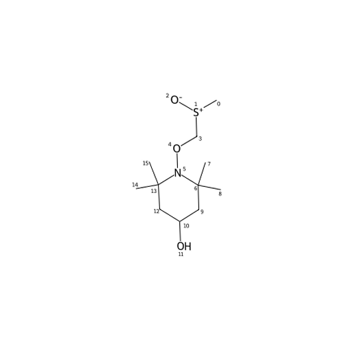 C[S+]([O-])CON1C(C)(C)CC(O)CC1(C)C